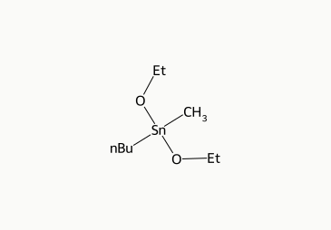 CCC[CH2][Sn]([CH3])([O]CC)[O]CC